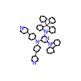 c1ccc(C2(c3ccccc3)c3ccccc3N(c3cc(N(c4ccc(-c5ccncc5)cc4)c4ccc(-c5ccncc5)cc4)cc(-n4c5ccccc5c5ccccc54)n3)c3ccccc32)cc1